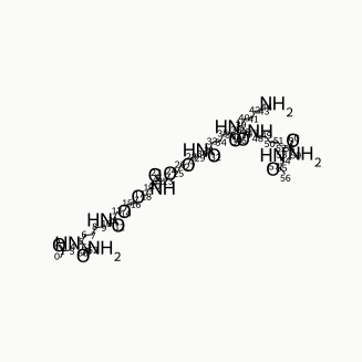 CC(=O)CN[C@@H](CCCCNC(=O)COCCOCCNC(=O)COCCOCCNC(=O)CCCC(=O)N[C@@H](CCCCN)C(=O)NCCCC[C@H](NCC(C)=O)C(N)=O)C(N)=O